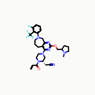 C=CC(=O)N1CCN(c2nc(OCC3CCCN3C)nc3c2CCCN(c2cccc(F)c2C(F)(F)F)C3)C[C@@H]1CC#N